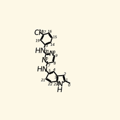 Cc1cc2cc(Nc3ccnc(Nc4cccc(Cl)c4)n3)ccc2[nH]1